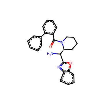 NC(c1nc2ccccc2o1)[C@@H]1CCCCN1C(=O)c1ccccc1-c1ccccc1